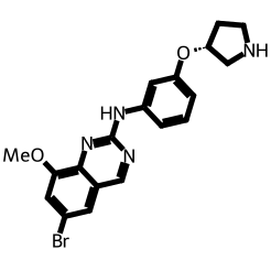 COc1cc(Br)cc2cnc(Nc3cccc(O[C@@H]4CCNC4)c3)nc12